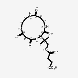 CC(C)(COC(=O)CCC(=O)O)[C@H]1OC(=O)CC(=O)SCCNC(=O)CCNC1=O